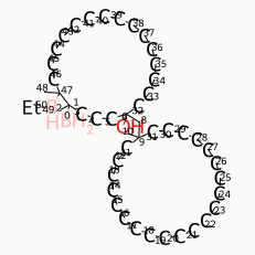 BC1(C)CCCC(O)(CC2(C)CCCCCCCCCCCCCCCCCCCCC2)CCCCCCCCCCCCCCCC1(C)BCC